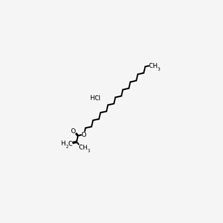 C=C(C)C(=O)OCCCCCCCCCCCCCCCCCC.Cl